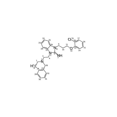 CCN(CCn1c(=N)n(CCCOc2ccccc2Cl)c2ccccc21)Cc1ccccc1